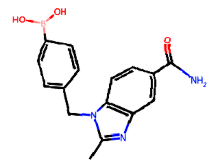 Cc1nc2cc(C(N)=O)ccc2n1Cc1ccc(B(O)O)cc1